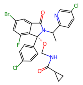 CC(c1ccc(Cl)cn1)N1C(=O)c2cc(Br)cc(F)c2[C@]1(OCNC(=O)C1CC1)c1ccc(Cl)cc1